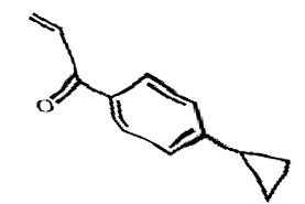 C=CC(=O)c1ccc(C2CC2)cc1